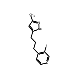 Cc1cc(CCCc2ccncc2I)[nH]n1